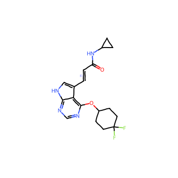 O=C(/C=C/c1c[nH]c2ncnc(OC3CCC(F)(F)CC3)c12)NC1CC1